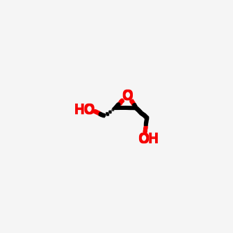 OCC1O[C@H]1CO